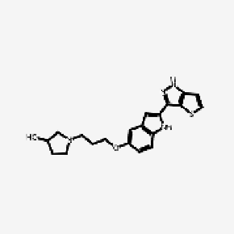 OC1CCN(CCCOc2ccc3[nH]c(-c4n[nH]c5ccsc45)cc3c2)C1